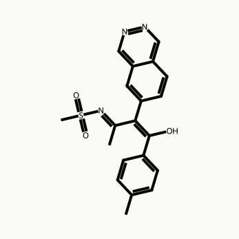 CC(=NS(C)(=O)=O)/C(=C(/O)c1ccc(C)cc1)c1ccc2cnncc2c1